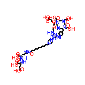 CN1CCN(CC(=O)O)CCN(CC(=O)O)CCN(CC(=O)O)C(Cc2ccc(Nc3nc(NCCOCCOCCC(=O)O)nc(N4CCN(CCCCCCCCCCC(=O)NCCCC[C@H](NC(=O)N[C@@H](CCC(=O)O)C(=O)O)C(=O)O)CC4)n3)cc2)C1